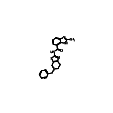 Nc1nc2cccc(C(=O)Nc3nc4c(s3)CN(Cc3ccccc3)CC4)c2[nH]1